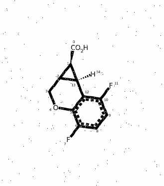 O=C(O)[C@@H]1C2COc3c(F)ccc(F)c3[C@@H]21